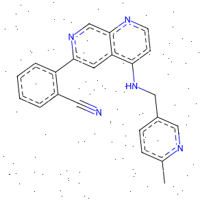 Cc1ccc(CNc2ccnc3cnc(-c4ccccc4C#N)cc23)cn1